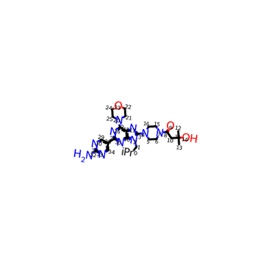 CC(C)Cn1c(N2CCN(C(=O)CC(C)(C)O)CC2)nc2c(N3CCOCC3)nc(-c3cnc(N)nc3)nc21